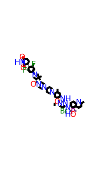 CCOc1cc(N2CCC(N3CCN(C(=O)[C@H]4CN(c5cc(F)c([C@H]6CCC(=O)NC6=O)c(F)c5)CC4(C)C)CC3)CC2)c(C)cc1Nc1ncc(Br)c(Nc2ccc3nc(C)ccc3c2P(C)(C)=O)n1